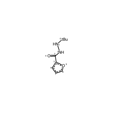 CC(C)(C)NNC(=O)c1ccco1